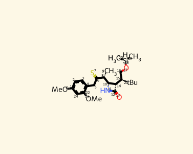 COc1ccc(CC(=S)[C@H](C)[C@H]2NC(=O)[C@H]2[C@@H](CO[SiH](C)C)C(C)(C)C)c(OC)c1